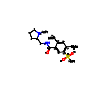 CCCN1CCCC1CNC(=O)c1cc(S(=O)(=O)CCC)c(NC)cc1OC